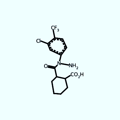 NN(C(=O)C1CCCCC1C(=O)O)c1ccc(C(F)(F)F)c(Cl)c1